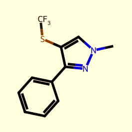 Cn1cc(SC(F)(F)F)c(-c2ccccc2)n1